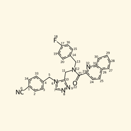 N#Cc1ccc(Cn2cnnc2CN(Cc2ccc(F)cc2)C(=O)c2ccc3ccccc3n2)cc1